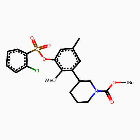 COc1c(OS(=O)(=O)c2ccccc2Cl)cc(C)cc1C1CCCN(C(=O)OC(C)(C)C)C1